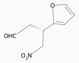 O=CC[C@@H](C[N+](=O)[O-])c1ccco1